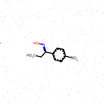 O=C(O)C/C(=N\O)c1ccc([N+](=O)[O-])cc1